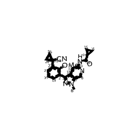 COc1c(-c2nn(C)c3cnc(NC(=O)C4CC4)cc23)cccc1C1(C#N)CC1